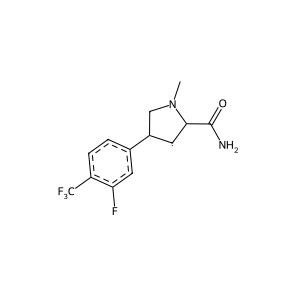 CN1CC(c2ccc(C(F)(F)F)c(F)c2)[CH]C1C(N)=O